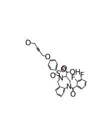 COCC#CCOc1ccc(S(=O)(=O)N2Cc3ccccc3N(C(=O)c3cccc(F)c3F)CC2C(=O)O)cc1